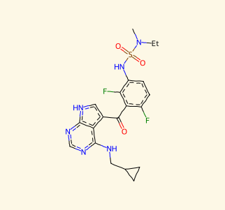 CCN(C)S(=O)(=O)Nc1ccc(F)c(C(=O)c2c[nH]c3ncnc(NCC4CC4)c23)c1F